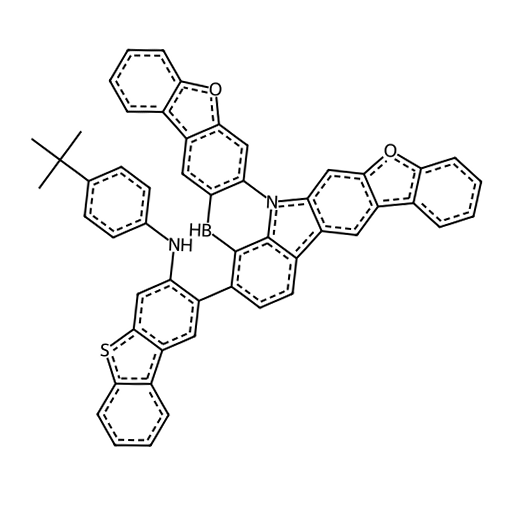 CC(C)(C)c1ccc(Nc2cc3sc4ccccc4c3cc2-c2ccc3c4cc5c(cc4n4c3c2Bc2cc3c(cc2-4)oc2ccccc23)oc2ccccc25)cc1